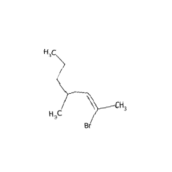 CCCC(C)C=C(C)Br